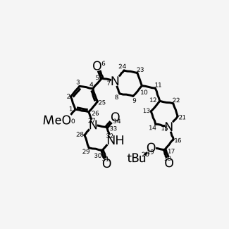 COc1ccc(C(=O)N2CCC(CC3CCN(CC(=O)OC(C)(C)C)CC3)CC2)cc1N1CCC(=O)NC1=O